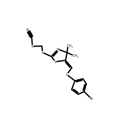 CC1(C)N=C(SCSC#N)SC1=CSc1ccc(Br)cc1